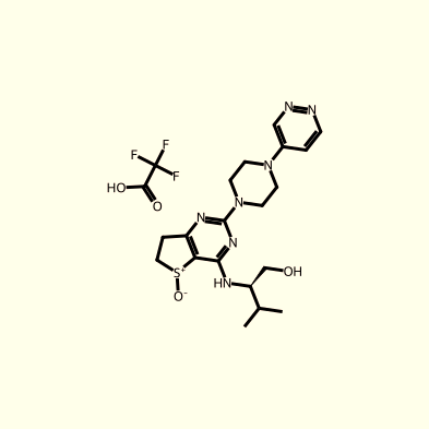 CC(C)[C@H](CO)Nc1nc(N2CCN(c3ccnnc3)CC2)nc2c1[S+]([O-])CC2.O=C(O)C(F)(F)F